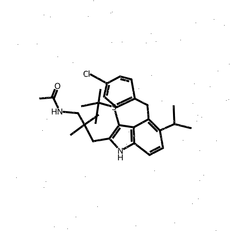 CC(=O)NCC(C)(C)Cc1[nH]c2ccc(C(C)C)c(Cc3ccc(Cl)cc3)c2c1SC(C)(C)C